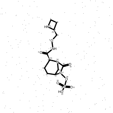 O=C(NOC[C@@H]1CCN1)[C@@H]1CCC2CN1C(=O)N2OS(=O)(=O)O